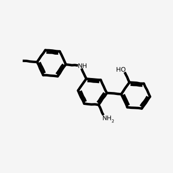 Cc1ccc(Nc2ccc(N)c(-c3ccccc3O)c2)cc1